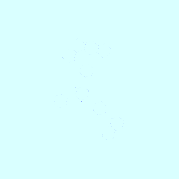 c1ccc(-c2nc(-c3ccc(-c4cncc5ccccc45)cc3)cc(-c3ccc(-c4c5ccccc5cc5ccc6ccccc6c45)cc3)n2)cc1